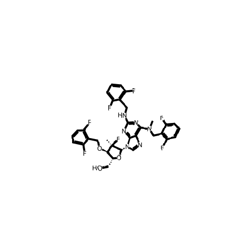 CN(Cc1c(F)cccc1F)c1nc(NCc2c(F)cccc2F)nc2c1ncn2[C@@H]1O[C@H](CO)[C@@H](OCc2c(F)cccc2F)[C@@]1(C)F